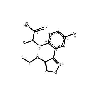 CCOC1CON=C1c1cc(Br)ccc1OC(C)C(=O)O